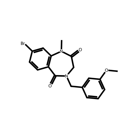 COc1cccc(CN2CC(=O)N(C)c3cc(Br)ccc3C2=O)c1